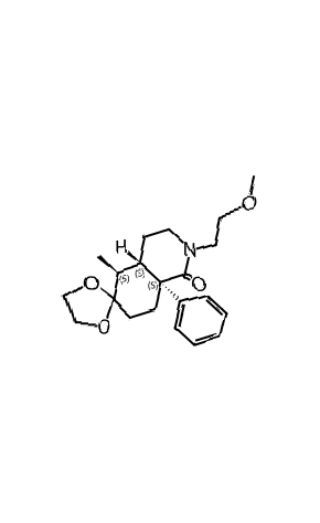 COCCN1CC[C@H]2[C@H](C)C3(CC[C@]2(c2ccccc2)C1=O)OCCO3